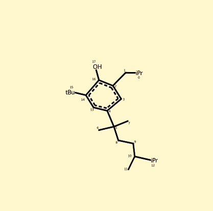 CC(C)Cc1cc(C(C)(C)CCC(C)C(C)C)cc(C(C)(C)C)c1O